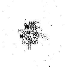 CNC(C)[C@@H]1CCC(NCCNC(=O)CCN(C)[C@@H]2[C@@H](O)C(OC3[C@@H](O)C(OC4O[C@H](CN)CC[C@H]4N)[C@@H](N)C[C@H]3N)OC[C@]2(C)O)C(OC2[C@H](O)C(OC3OC[C@](C)(O)[C@H](NC)[C@H]3O)[C@H](N)C[C@@H]2N)O1